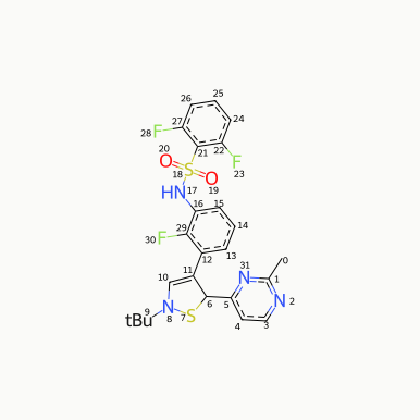 Cc1nccc(C2SN(C(C)(C)C)C=C2c2cccc(NS(=O)(=O)c3c(F)cccc3F)c2F)n1